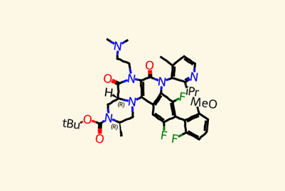 COc1cccc(F)c1-c1c(F)cc2c3c(c(=O)n(-c4c(C)ccnc4C(C)C)c2c1F)N(CCN(C)C)C(=O)[C@H]1CN(C(=O)OC(C)(C)C)[C@H](C)CN31